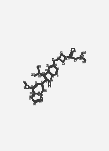 COc1cc(-c2[nH]c3ccc(CC4CN(C(=O)CN(C)C)C4)cc3c2C(C)C)cn2ncnc12